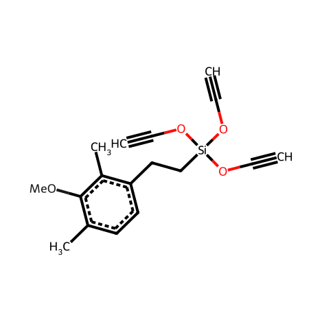 C#CO[Si](CCc1ccc(C)c(OC)c1C)(OC#C)OC#C